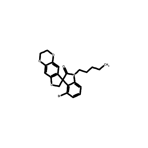 CCCCCN1C(=O)C2(COc3cc4c(cc32)OCCO4)c2c(Br)cccc21